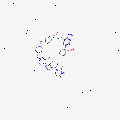 Nc1nnc(-c2ccccc2O)cc1N1CCO[C@H](c2ccc(C(=O)N3CCC(CN4CCC(n5ccc6c(N7CCC(=O)NC7=O)cccc65)C(F)C4)CC3)cc2)C1